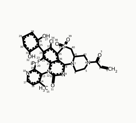 C=CC(=O)N1CCN2c3nc(=O)n(-c4c(C)ccnc4C(C)C)c4c(F)c(-c5c(O)cccc5O)c(Cl)c(c34)S(=O)(=O)CC2C1